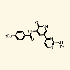 CCNc1nccc(-c2c[nH]c(=O)c(NC(=O)c3ccc(C(C)(C)C)cc3)c2)n1